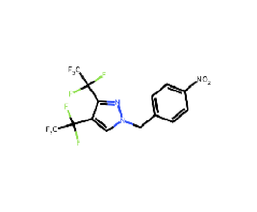 O=[N+]([O-])c1ccc(Cn2cc(C(F)(F)C(F)(F)F)c(C(F)(F)C(F)(F)F)n2)cc1